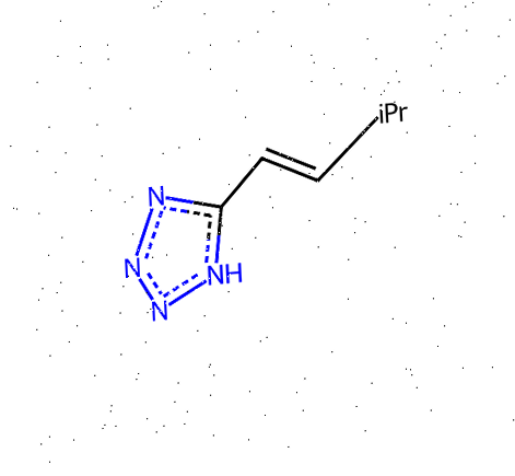 CC(C)/C=C/c1nnn[nH]1